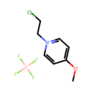 COc1cc[n+](CCCl)cc1.F[B-](F)(F)F